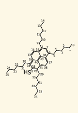 CCCCCCc1cc(CCCCCC)c2ccc3c(CCCCCC)c(S)c(CCCCCC)c4ccc1c2c43